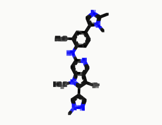 COc1cc(-c2cnc(C)n2C)ccc1Nc1cc2c(cn1)c(C(C)C)c(-c1cnn(C)c1)n2C(=O)O